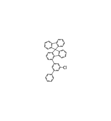 Clc1cc(-c2ccccc2)cc(-c2cccc3c2-c2ccccc2C32c3ccccc3-c3ccccc32)c1